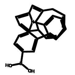 OB(O)c1ccc2c(c1)c1ccccc1n2C1=C\C=CC2/C=C\C=C/C\C(=C\1)C2